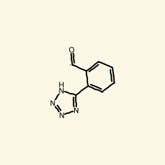 O=[C]c1ccccc1-c1nnn[nH]1